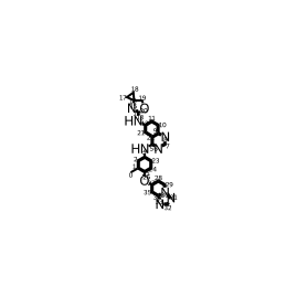 Cc1cc(Nc2ncnc3ccc(NC4=NC5(CC5)CO4)cc23)ccc1Oc1ccn2ncnc2c1